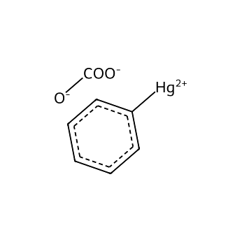 O=C([O-])[O-].[Hg+2][c]1ccccc1